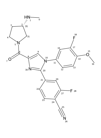 CN[C@H]1CCN(C(=O)c2cn(-c3ccc(OC)c(F)c3)c(-c3ccc(C#N)c(F)c3)n2)C1